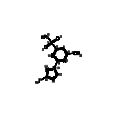 CCCS(=O)(=O)c1cc(C)nc(-n2ccc(F)n2)n1